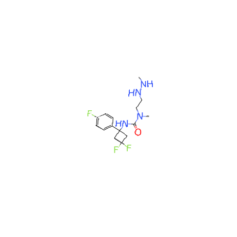 CNNCCN(C)C(=O)NC1(c2ccc(F)cc2)CC(F)(F)C1